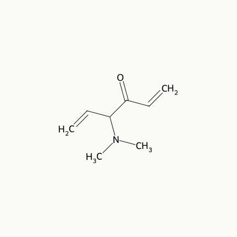 C=CC(=O)C(C=C)N(C)C